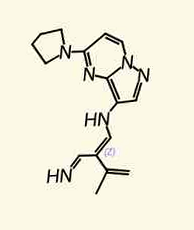 C=C(C)/C(C=N)=C/Nc1cnn2ccc(N3CCCC3)nc12